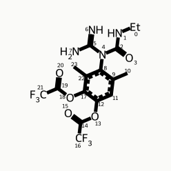 CCNC(=O)N(C(=N)N)c1c(C)cc(OC(=O)C(F)(F)F)c(OC(=O)C(F)(F)F)c1C